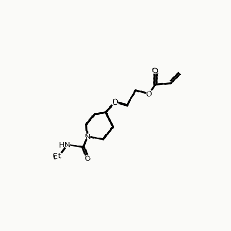 C=CC(=O)OCCOC1CCN(C(=O)NCC)CC1